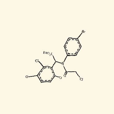 CCOC(=O)C(c1c(Cl)ccc(Cl)c1Cl)N(C(=O)CCl)c1ccc(Br)cc1